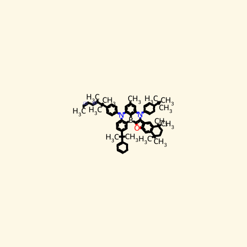 C/C=C\C=C(/C)C(C)(C)c1ccc(N2c3ccc(C(C)(C)C4=CC=CCC4)cc3B3c4oc5cc6c(cc5c4N(C4=CCC(C(C)(C)C)C=C4)c4cc(C)cc2c43)C(C)(C)CCC6(C)C)cc1